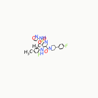 Cc1ccc(Nc2c(C(=O)N3CCC(c4ccc(F)cc4)CC3)cnc(S(=O)(=O)Nc3ccon3)c2C)c(F)c1